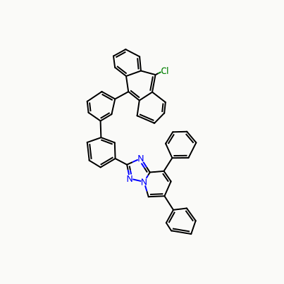 Clc1c2ccccc2c(-c2cccc(-c3cccc(-c4nc5c(-c6ccccc6)cc(-c6ccccc6)cn5n4)c3)c2)c2ccccc12